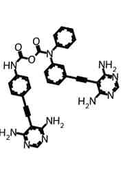 Nc1ncnc(N)c1C#Cc1ccc(NC(=O)OC(=O)N(c2ccccc2)c2cccc(C#Cc3c(N)ncnc3N)c2)cc1